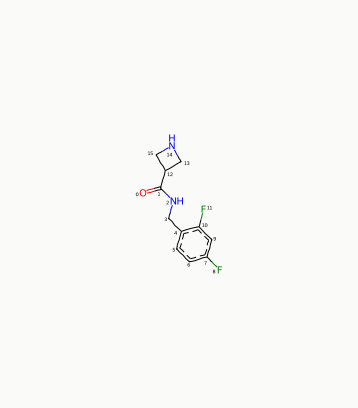 O=C(NCc1ccc(F)cc1F)C1CNC1